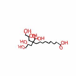 O=C(O)CCCCCCCCC(CC(O)CO)(CC(O)CO)C(=O)O